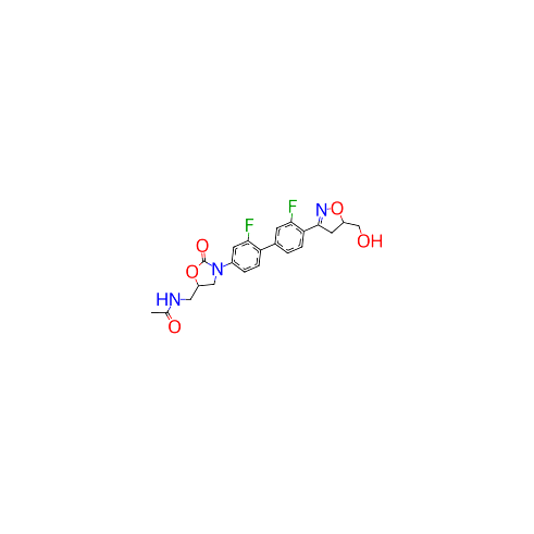 CC(=O)NCC1CN(c2ccc(-c3ccc(C4=NOC(CO)C4)c(F)c3)c(F)c2)C(=O)O1